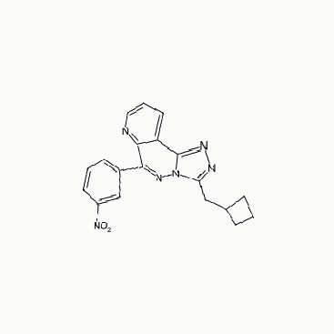 O=[N+]([O-])c1cccc(-c2nn3c(CC4CCC4)nnc3c3cccnc23)c1